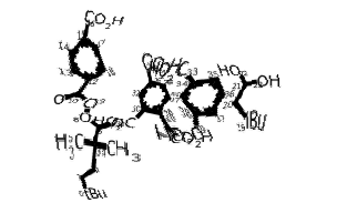 CC(C)(C)CCC(C)(C)C(=O)OOC(=O)c1ccc(C(=O)O)cc1.CCC(C)CC(O)O.O=C(O)c1ccc(C(=O)O)c(C(=O)O)c1.O=C(O)c1cccc(C(=O)O)c1